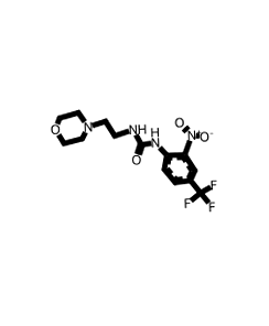 O=C(NCCN1CCOCC1)Nc1ccc(C(F)(F)F)cc1[N+](=O)[O-]